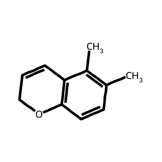 Cc1ccc2c(c1C)C=CCO2